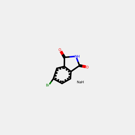 O=C1NC(=O)c2cc(Br)ccc21.[NaH]